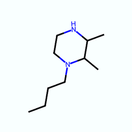 CCCCN1CCNC(C)C1C